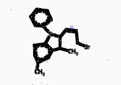 Cc1ccc2c(c1)C(C)C(/C=C\CBr)N2c1ccccc1